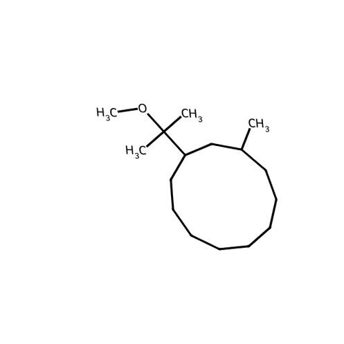 COC(C)(C)C1CCCCCCCCC(C)C1